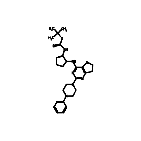 CC(C)(C)OC(=O)NC1CCCC1Nc1nc(N2CCN(c3ccccc3)CC2)nc2c1SCC2